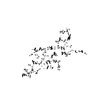 CC(C)Cc1nc(-c2nc(N)c(C(C)(c3ccc(C(F)(F)F)cn3)C3CC3)c(NC=O)n2)cn2ccnc12